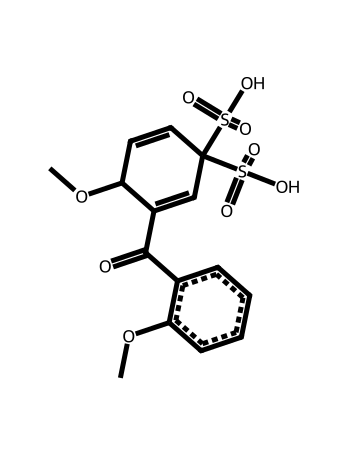 COc1ccccc1C(=O)C1=CC(S(=O)(=O)O)(S(=O)(=O)O)C=CC1OC